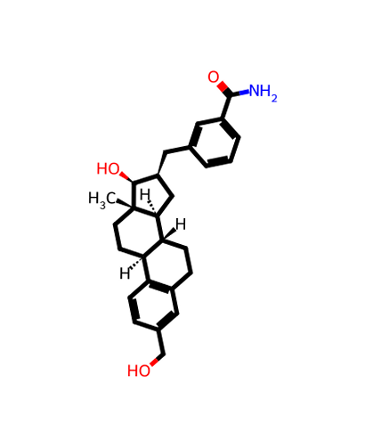 C[C@]12CC[C@@H]3c4ccc(CO)cc4CC[C@H]3[C@@H]1C[C@H](Cc1cccc(C(N)=O)c1)[C@@H]2O